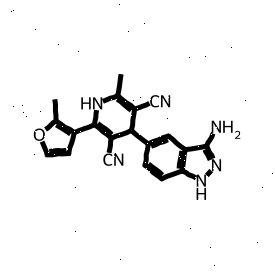 CC1=C(C#N)C(c2ccc3[nH]nc(N)c3c2)C(C#N)=C(c2ccoc2C)N1